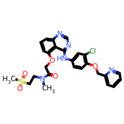 CN(CCS(C)(=O)=O)C(=O)COc1cccc2ncnc(Nc3ccc(OCc4ccccn4)c(Cl)c3)c12